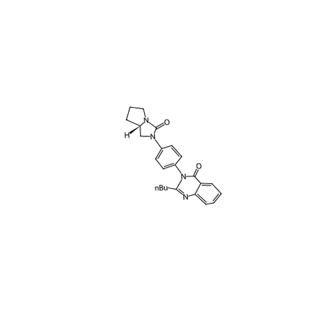 CCCCc1nc2ccccc2c(=O)n1-c1ccc(N2C[C@@H]3CCCN3C2=O)cc1